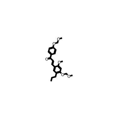 CCCc1cc(C=CC(=O)c2ccc(OCOC)cc2)c(OC)cc1OCOC